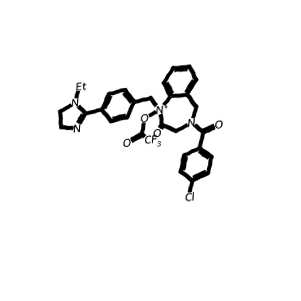 CCN1CCN=C1c1ccc(C[N+]2(OC(=O)C(F)(F)F)C(=O)CN(C(=O)c3ccc(Cl)cc3)Cc3ccccc32)cc1